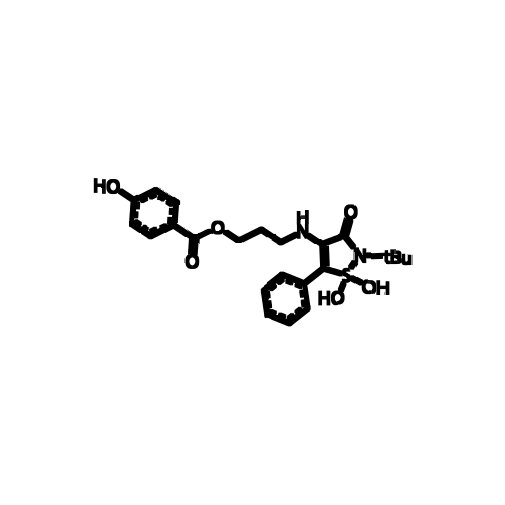 CC(C)(C)N1C(=O)C(NCCCOC(=O)c2ccc(O)cc2)=C(c2ccccc2)S1(O)O